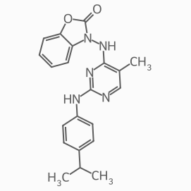 Cc1cnc(Nc2ccc(C(C)C)cc2)nc1Nn1c(=O)oc2ccccc21